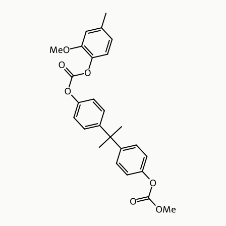 COC(=O)Oc1ccc(C(C)(C)c2ccc(OC(=O)Oc3ccc(C)cc3OC)cc2)cc1